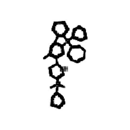 Cc1cc2c(cc1C1C=CC([Si](C)(C)c3ccccc3)=CN1)[Si](C1=CCC=CC=C1)(c1ccccc1)c1ccccc1-2